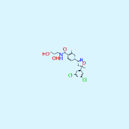 Cc1cc(C2=NOC(C)(c3cc(Cl)cc(Cl)c3)C2)ccc1C(=O)NCC(O)CO